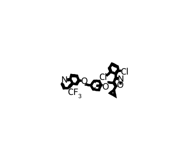 FC(F)(F)c1ccnc2ccc(OCC34CCC(OCc5c(-c6c(Cl)cccc6Cl)noc5C5CC5)(CC3)CC4)cc12